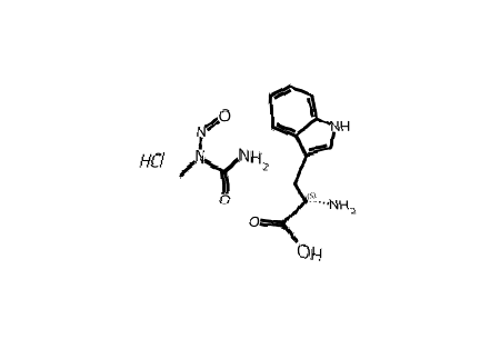 CN(N=O)C(N)=O.Cl.N[C@@H](Cc1c[nH]c2ccccc12)C(=O)O